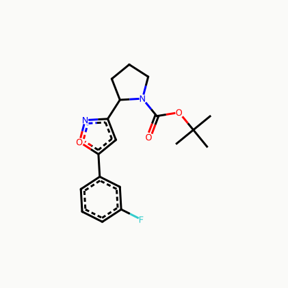 CC(C)(C)OC(=O)N1CCCC1c1cc(-c2cccc(F)c2)on1